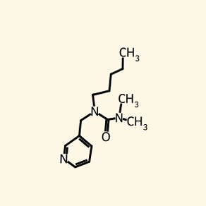 CCCCCN(Cc1cccnc1)C(=O)N(C)C